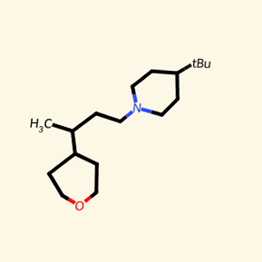 CC(CCN1CCC(C(C)(C)C)CC1)C1CCOCC1